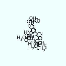 Cc1c(-c2cc3cc(N(C(=O)O)[C@@H]4CCOC4)ncc3c(NC(=O)OC(C)(C)C)c2F)cnc2c1C(O[Si](C)(C)C(C)(C)C)CC2